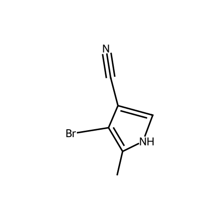 Cc1[nH]cc(C#N)c1Br